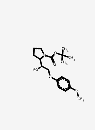 COc1ccc(OC[C@@H](O)C2CCCN2C(=O)OC(C)(C)C)cc1